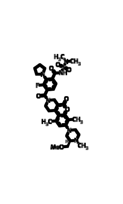 COC[C@H]1CN(c2cc(C)c3c4c(c(=O)oc3c2C)CN(C(=O)c2ccc(C(=O)NS(=O)(=O)N(C)C)c(N3CCCC3)c2F)CC4)CCN1C